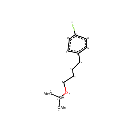 CO[SiH](OC)OCCCCc1ccc(F)cc1